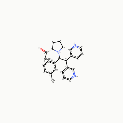 CNC(=O)[C@@H]1CCCN1C(c1cccc(C#N)c1)C(c1cccnc1)c1cccnc1